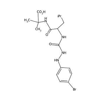 CC(C)CC(NC(=O)NNc1ccc(Br)cc1)C(=O)NC(C)(C)C(=O)O